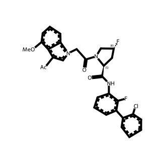 COc1cccc2c1c(C(C)=O)cn2CC(=O)N1C[C@H](F)C[C@H]1C(=O)Nc1cccc(-c2ccccc2Cl)c1F